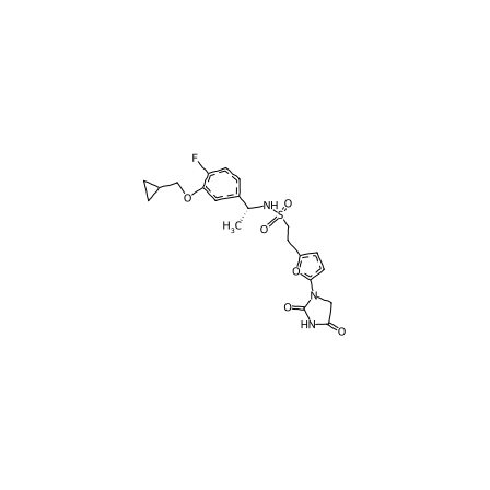 C[C@@H](NS(=O)(=O)CCc1ccc(N2CC(=O)NC2=O)o1)c1ccc(F)c(OCC2CC2)c1